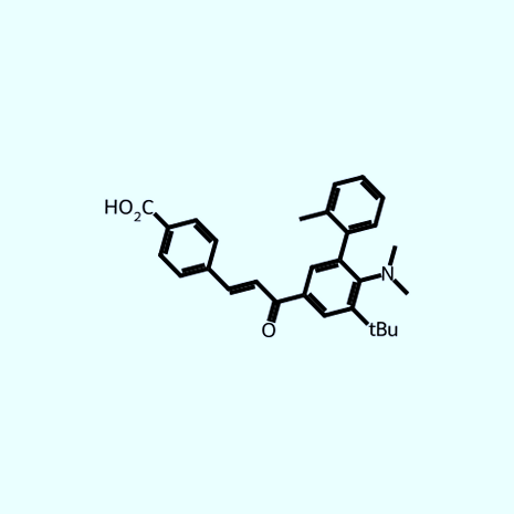 Cc1ccccc1-c1cc(C(=O)C=Cc2ccc(C(=O)O)cc2)cc(C(C)(C)C)c1N(C)C